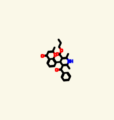 CCCOC(=O)C1=C(C)NC(C)=C(C(=O)c2ccccc2)C1c1cccc2c(=O)cc(C)oc12